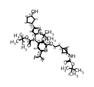 CC(C)(C)OC(=O)NC12CC(CCOc3cc(N(C(=O)OC(C)(C)C)c4cc([C@H]5CC[C@@H](O)C5)nn4C(C)(C)C)cc(C(F)F)n3)(C1)C2